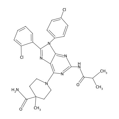 CC(C)C(=O)Nc1nc(N2CCC(C)(C(N)=O)CC2)c2nc(-c3ccccc3Cl)n(-c3ccc(Cl)cc3)c2n1